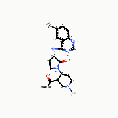 COC(=O)C1CN(C(C)C)CCC1N1CC[C@H](Nc2ncnc3ccc(C(F)(F)F)cc23)C1=O